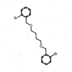 Brc1ccccc1COCCCCOCc1ccccc1Br